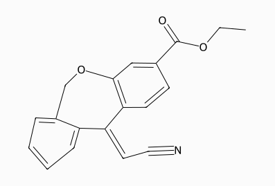 CCOC(=O)c1ccc2c(c1)OCc1ccccc1/C2=C/C#N